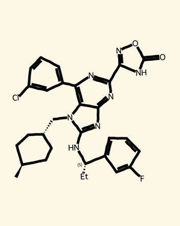 CC[C@H](Nc1nc2nc(-c3noc(=O)[nH]3)nc(-c3cccc(Cl)c3)c2n1C[C@H]1CC[C@H](C)CC1)c1cccc(F)c1